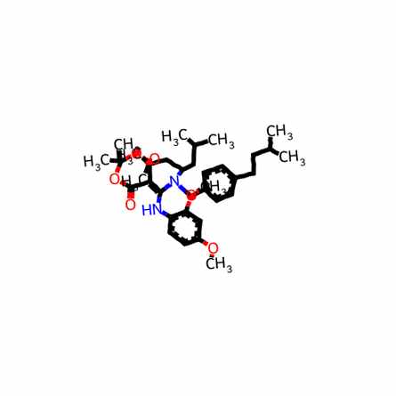 COc1ccc(NC(=C2C(=O)OC(C)(C)OC2=O)N(Cc2ccc(CCC(C)C)cc2)C(CC(C)C)CC(C)C)c(OC)c1